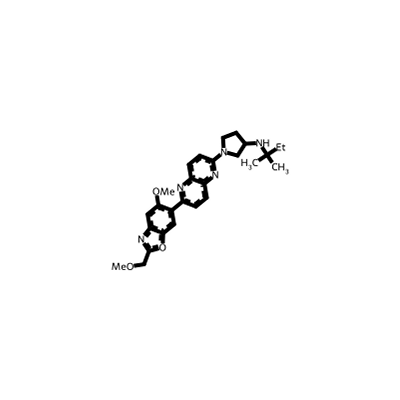 CCC(C)(C)NC1CCN(c2ccc3nc(-c4cc5oc(COC)nc5cc4OC)ccc3n2)C1